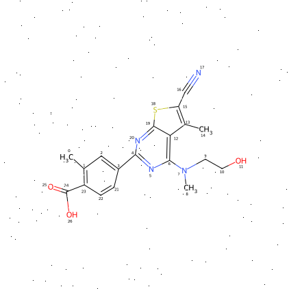 Cc1cc(-c2nc(N(C)CCO)c3c(C)c(C#N)sc3n2)ccc1C(=O)O